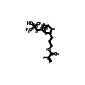 C=C(C)C(=O)OCCCC1CC2CC(CC(O)(C(F)(F)F)C(F)(F)F)C1C2